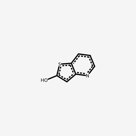 Oc1cc2ncccc2s1